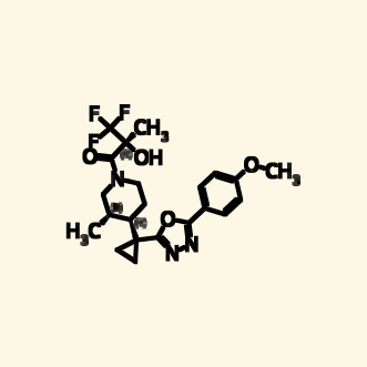 COc1ccc(-c2nnc(C3([C@@H]4CCN(C(=O)[C@@](C)(O)C(F)(F)F)C[C@@H]4C)CC3)o2)cc1